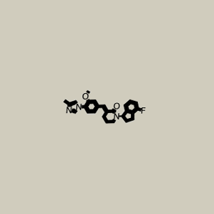 COc1cc(/C=C2\CCCN([C@@H]3CCc4c(F)cccc43)C2=O)ccc1-n1cnc(C)c1